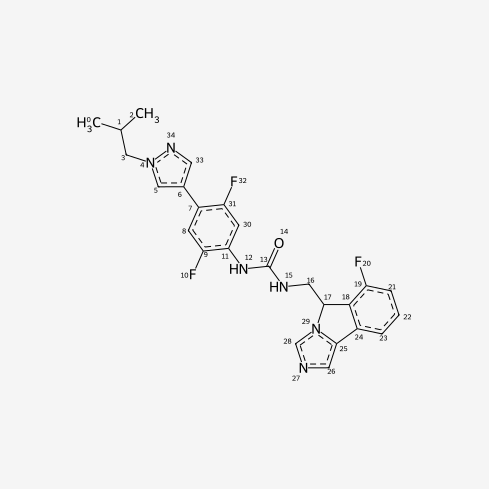 CC(C)Cn1cc(-c2cc(F)c(NC(=O)NCC3c4c(F)cccc4-c4cncn43)cc2F)cn1